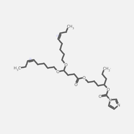 [CH2]CCC(CCCOC(=O)CCC(OCCCC/C=C\CC)OCCCC/C=C\CC)OC(=O)n1ccnc1